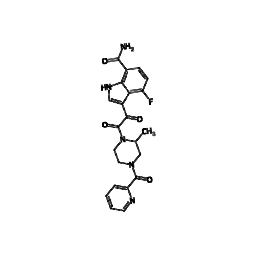 CC1CN(C(=O)c2ccccn2)CCN1C(=O)C(=O)c1c[nH]c2c(C(N)=O)ccc(F)c12